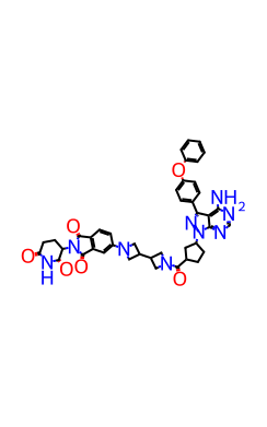 Nc1ncnc2c1c(-c1ccc(Oc3ccccc3)cc1)nn2C1CCC(C(=O)N2CC(C3CN(c4ccc5c(c4)C(=O)N(C4CCC(=O)NC4=O)C5=O)C3)C2)C1